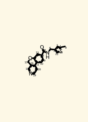 Cc1cc(CNC(=O)c2ccc3c(c2)OCc2cnccc2-3)cs1